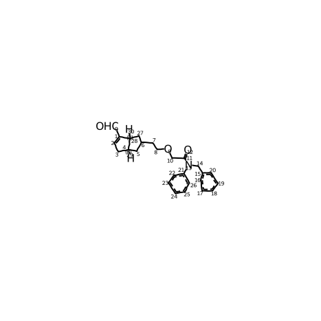 O=CC1=CC[C@H]2CC(CCOCC(=O)N(Cc3ccccc3)c3ccccc3)C[C@@H]12